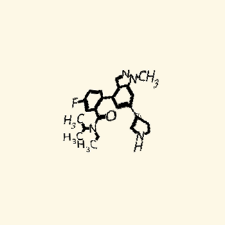 CCN(C(=O)c1cc(F)ccc1-c1cc([C@H]2CCNC2)cc2c1cnn2C)C(C)C